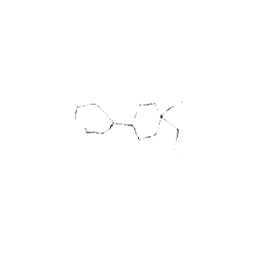 CCC1(CC(C)=O)CCC(C2CCCCC2)CC1